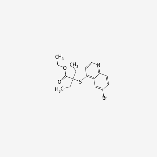 CCOC(=O)C(CC)(CC)Sc1ccnc2ccc(Br)cc12